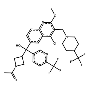 COc1nc2ccc(C(O)(c3ccc(C(F)(F)F)nc3)C3CN(C(C)=O)C3)cc2c(Cl)c1CN1CCC(C(F)(F)F)CC1